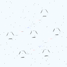 c1ccc(COCCN(CCOCc2ccccc2)c2ccccc2)cc1.c1ccc(COCCN(CCOCc2ccccc2)c2ccccc2)cc1